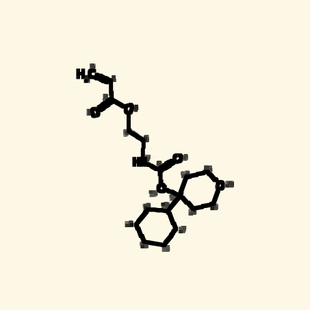 C=CC(=O)OCCNC(=O)OC1(C2CCCCC2)CCOCC1